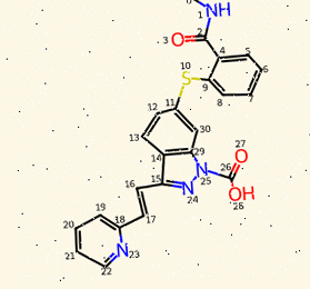 CNC(=O)c1ccccc1Sc1ccc2c(/C=C/c3ccccn3)nn(C(=O)O)c2c1